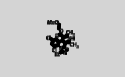 CCc1noc(C2=C(C)NC(C)=C(C(=O)OCCOC)C2c2cc(Cl)cc(Cl)c2)n1